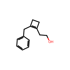 OCCC1=C(Cc2ccccc2)CC1